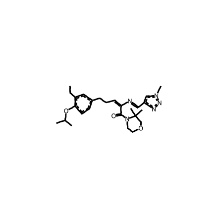 CCc1cc(CC/C=C(/N=C/c2cn(C)nn2)C(=O)N2CCOCC2(C)C)ccc1OC(C)C